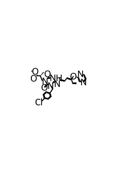 C=C\C(=C/C=C(C)/N=c1\[nH]c(=O)n(C[C@H](C)C(=O)OC)c(=O)n1Cc1ccc(Cl)cc1)Oc1cnccn1